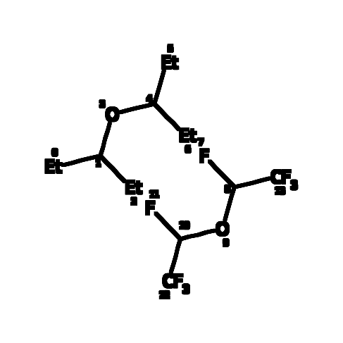 CCC(CC)OC(CC)CC.FC(OC(F)C(F)(F)F)C(F)(F)F